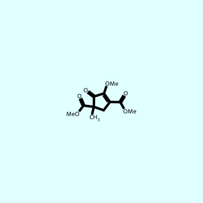 COC(=O)C1=C(OC)C(=O)C(C)(C(=O)OC)C1